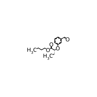 CCCCOC(=O)[C@@H](CC)Oc1cccc(C=O)c1